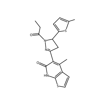 CCC(=O)N1N=C(c2c(C)c3ccsc3[nH]c2=O)CC1c1ccc(C)s1